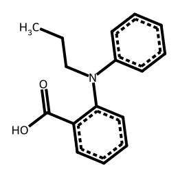 CCCN(c1ccccc1)c1ccccc1C(=O)O